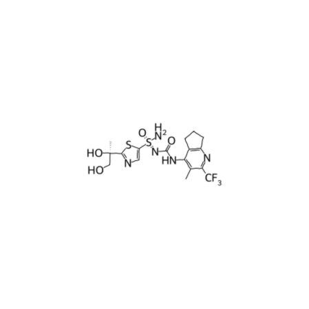 Cc1c(C(F)(F)F)nc2c(c1NC(=O)N=S(N)(=O)c1cnc([C@](C)(O)CO)s1)CCC2